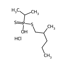 CCCC(C)CSP(O)(=S)C(C)C.Cl